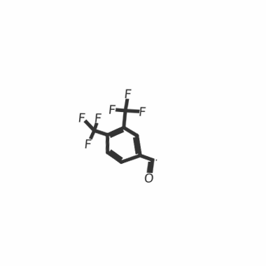 O=[C]c1ccc(C(F)(F)F)c(C(F)(F)F)c1